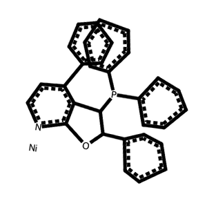 [Ni].c1ccc(-c2ccnc3c2C(P(c2ccccc2)c2ccccc2)C(c2ccccc2)O3)cc1